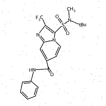 CN(C(C)(C)C)S(=O)(=O)c1c(C(F)(F)F)nc2cc(C(=O)Nc3ccccc3)ccn12